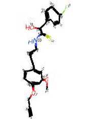 C#CCOc1ccc(CCNC(=S)C(O)c2ccc(F)cc2)cc1OC